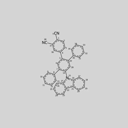 N#Cc1ccc(-c2cc(-c3ccccc3)c(-n3c4ccccc4c4ccccc43)cc2-c2ccccc2)cc1C#N